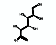 [2H]C(=O)[C@H](O)[C@@H](O)[C@H](O)[C@H](O)CO